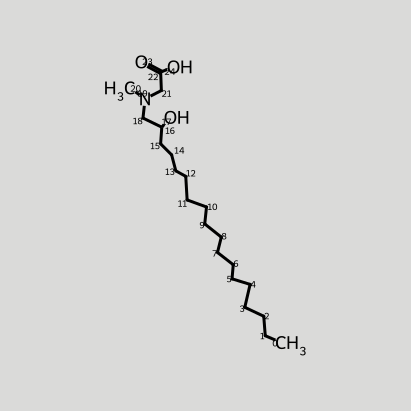 CCCCCCCCCCCCCCCCC(O)CN(C)CC(=O)O